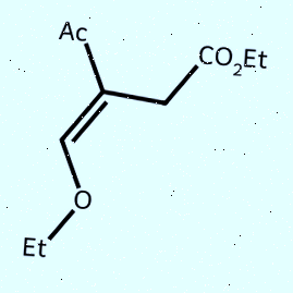 CCO/C=C(\CC(=O)OCC)C(C)=O